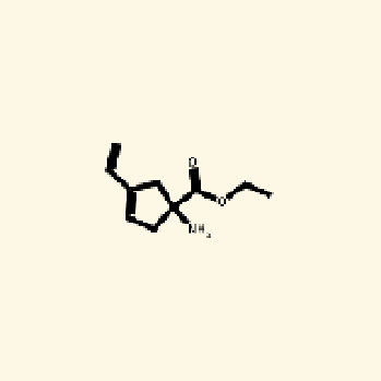 C=CC1=CCC(N)(C(=O)OCC)C1